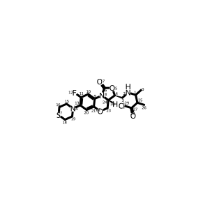 CC(NC[C@@H]1OC(=O)N2c3cc(F)c(N4CCSCC4)cc3OC[C@@H]12)C(C)C(=O)Cl